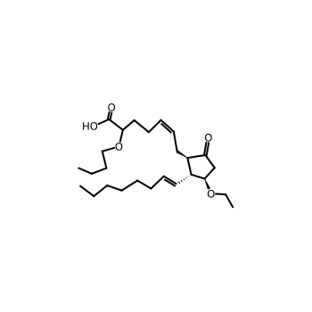 CCCCCC/C=C/[C@H]1[C@H](OCC)CC(=O)[C@@H]1C/C=C\CCC(OCCCC)C(=O)O